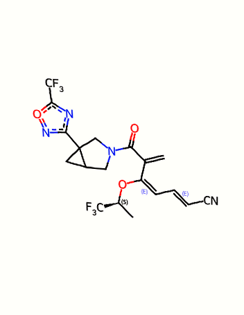 C=C(C(=O)N1CC2CC2(c2noc(C(F)(F)F)n2)C1)/C(=C\C=C\C#N)O[C@@H](C)C(F)(F)F